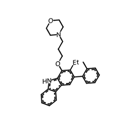 CCc1c(-c2ccccc2C)cc2c([nH]c3ccccc32)c1OCCCN1CCOCC1